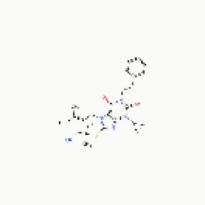 CC(C)=CCn1c(SC(C)(C)CN)nc2c1c(=O)n(CCc1ccccc1)c(=O)n2C1CC1